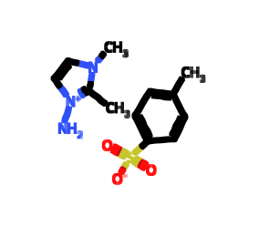 Cc1ccc(S(=O)(=O)[O-])cc1.Cc1n(C)cc[n+]1N